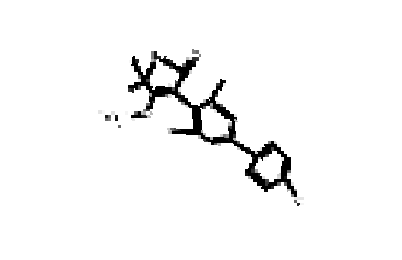 CCOC(=O)OC1=C(c2c(C)cc(-c3ccc(Cl)cc3)cc2C)C(=O)NC1(C)C